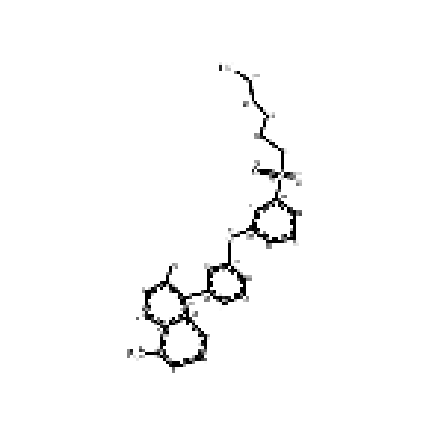 Cc1cnc2c(C(F)(F)F)cccc2c1-c1cccc(Oc2cccc(S(=O)(=O)CCCCCO)c2)c1